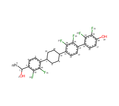 CCCC(O)c1ccc(C2CCC(c3ccc(-c4ccc(O)c(F)c4F)c(F)c3F)CC2)c(F)c1F